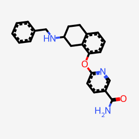 NC(=O)c1ccc(Oc2cccc3c2CC(NCc2ccccc2)CC3)nc1